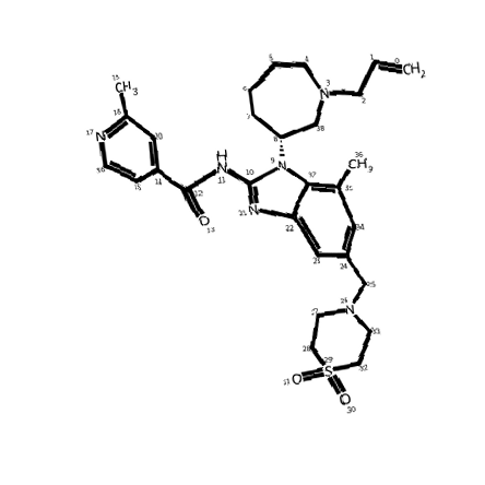 C=CCN1CCCC[C@@H](n2c(NC(=O)c3ccnc(C)c3)nc3cc(CN4CCS(=O)(=O)CC4)cc(C)c32)C1